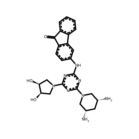 N[C@@H]1C[C@H](N)CN(c2nc(Nc3ccc4c(c3)-c3ccccc3C4=O)nc(N3C[C@@H](O)[C@@H](O)C3)n2)C1